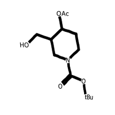 CC(=O)OC1CCN(C(=O)OC(C)(C)C)CC1CO